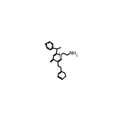 C=C1C=C(C(C)c2ccccc2)N(CCN)C=C1CCC1=CC=CCC1